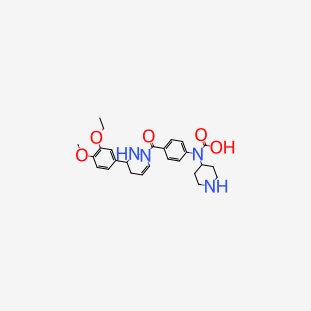 CCOc1cc(C2CC=CN(C(=O)c3ccc(N(C(=O)O)C4CCNCC4)cc3)N2)ccc1OC